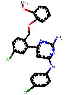 COc1ccccc1OCc1ccc(Br)cc1-c1cc(Nc2ccc(Cl)cc2)nc(N)n1